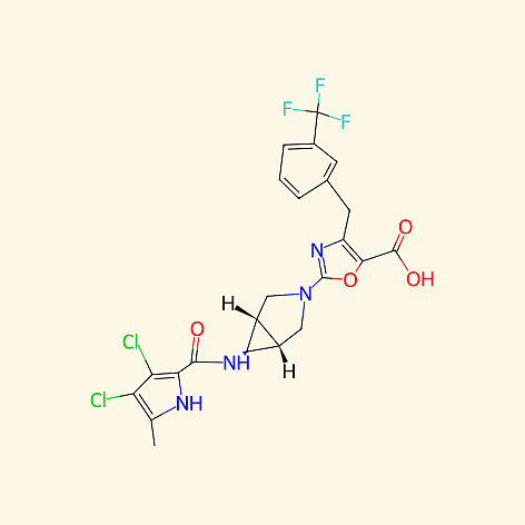 Cc1[nH]c(C(=O)N[C@H]2[C@@H]3CN(c4nc(Cc5cccc(C(F)(F)F)c5)c(C(=O)O)o4)C[C@@H]32)c(Cl)c1Cl